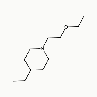 CCOCCN1CCC(CC)CC1